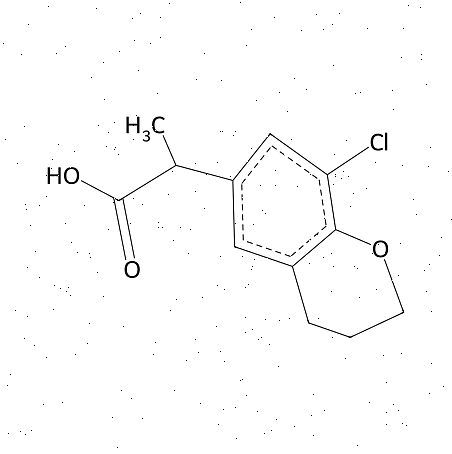 CC(C(=O)O)c1cc(Cl)c2c(c1)CCCO2